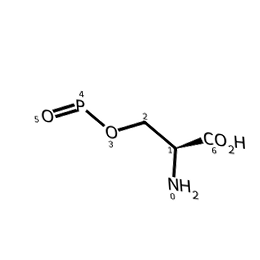 N[C@@H](COP=O)C(=O)O